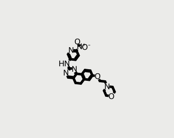 O=[N+]([O-])c1ccc(Nc2ncc3c(n2)-c2ccc(OCCN4CCOCC4)cc2CC3)cn1